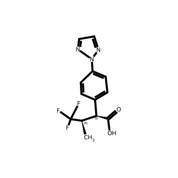 C[C@H]([C@H](C(=O)O)c1ccc(-n2nccn2)cc1)C(F)(F)F